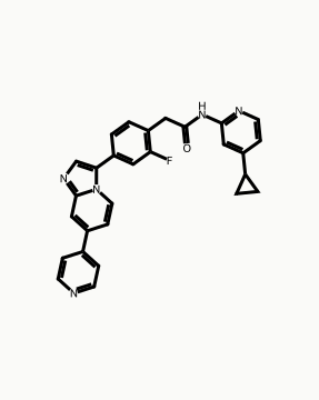 O=C(Cc1ccc(-c2cnc3cc(-c4ccncc4)ccn23)cc1F)Nc1cc(C2CC2)ccn1